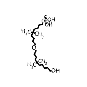 CC(C)(CCCCCO)CCCCOCCCCC(C)(C)CCCCOP(=O)(O)O